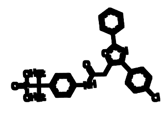 CCC(CC)(c1ccc(NC(=O)Cc2oc(-c3ccccc3)nc2-c2ccc(Cl)cc2)cc1)P(=O)(O)O